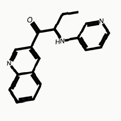 CCC(Nc1cccnc1)C(=O)c1cnc2ccccc2c1